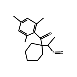 Cc1cc(C)c(C(=O)C2(C(C)P=O)CCCCC2)c(C)c1